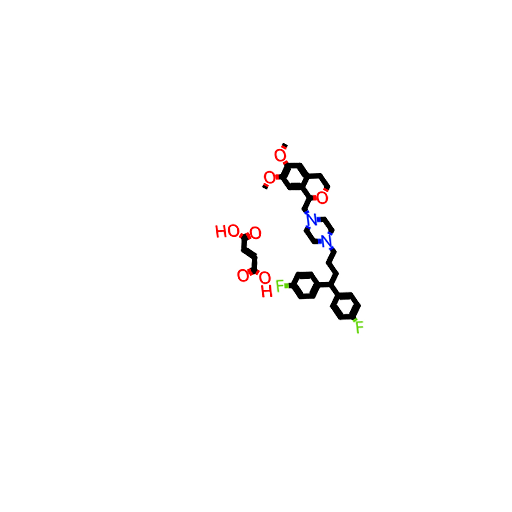 COc1cc2c(cc1OC)C(CN1CCN(CCCC(c3ccc(F)cc3)c3ccc(F)cc3)CC1)OCC2.O=C(O)C=CC(=O)O